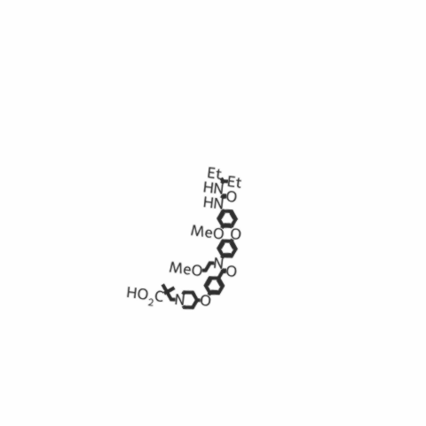 CCC(CC)NC(=O)Nc1ccc(Oc2ccc(N(CCOC)C(=O)c3ccc(OC4CCN(CC(C)(C)C(=O)O)CC4)cc3)cc2)c(OC)c1